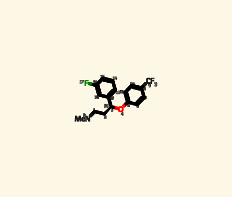 CNCC[C@H](Oc1ccc(C(F)(F)F)cc1)c1cccc(F)c1